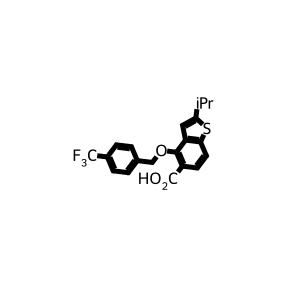 CC(C)c1cc2c(OCc3ccc(C(F)(F)F)cc3)c(C(=O)O)ccc2s1